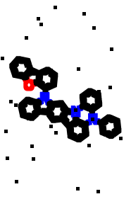 c1ccc(N2c3ccccc3-n3c4cc5c(cc4c4cccc2c43)c2ccccc2n5-c2cccc3c2oc2ccccc23)cc1